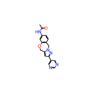 CC(=O)Nc1ccc2c(c1)OCc1cc(-c3cncnc3)nn1C2